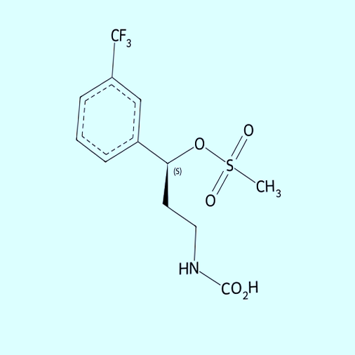 CS(=O)(=O)O[C@@H](CCNC(=O)O)c1cccc(C(F)(F)F)c1